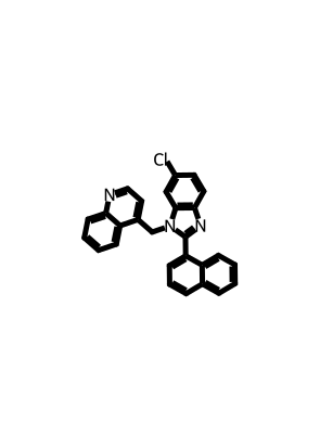 Clc1ccc2nc(-c3cccc4ccccc34)n(Cc3ccnc4ccccc34)c2c1